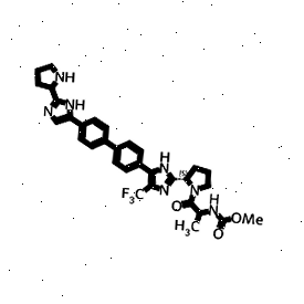 COC(=O)NC(C)C(=O)N1CCC[C@H]1c1nc(C(F)(F)F)c(-c2ccc(-c3ccc(-c4cnc(C5CCCN5)[nH]4)cc3)cc2)[nH]1